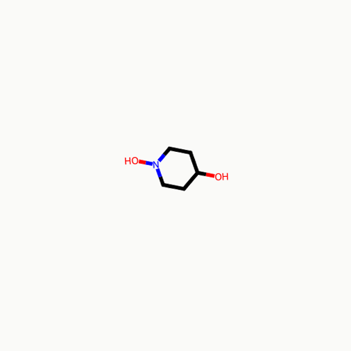 OC1CCN(O)CC1